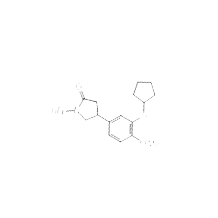 CCCN1CC(c2ccc(OC)c(OC3CCCC3)c2)CC1=O